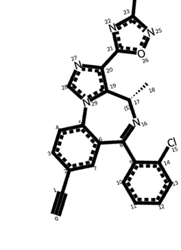 C#Cc1ccc2c(c1)C(c1ccccc1Cl)=N[C@@H](C)c1c(-c3nc(C)no3)ncn1-2